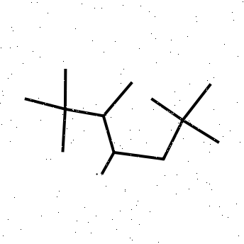 [CH2]C(CC(C)(C)C)C(C)C(C)(C)C